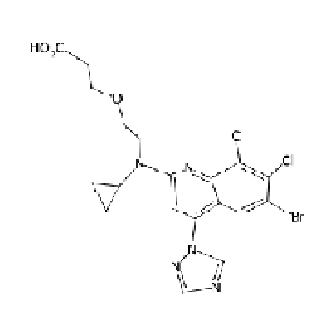 O=C(O)CCOCCN(c1cc(-n2cncn2)c2cc(Br)c(Cl)c(Cl)c2n1)C1CC1